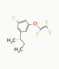 CC[C@H](C)c1cc(F)cc(OC(F)=C(F)F)c1